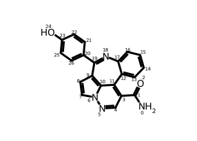 NC(=O)c1cnn2ccc3c2c1-c1ccccc1N=C3c1ccc(O)cc1